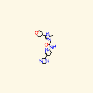 Cc1nc(C2CCOCC2)cn1CC(=O)NC1=NC=C(c2cnccn2)CC1